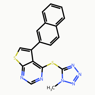 Cn1nnnc1Sc1ncnc2scc(-c3ccc4ccccc4c3)c12